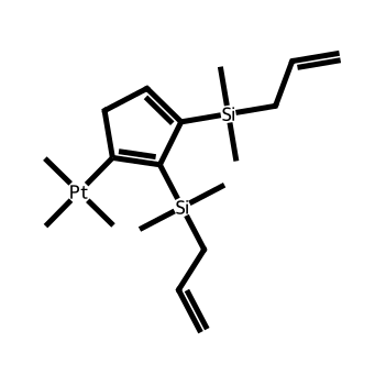 C=CC[Si](C)(C)C1=CC[C]([Pt]([CH3])([CH3])[CH3])=C1[Si](C)(C)CC=C